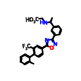 Cc1ccccc1-c1ccc(-c2nc(-c3cccc(C(C)NCC(=O)O)c3)no2)cc1C(F)(F)F